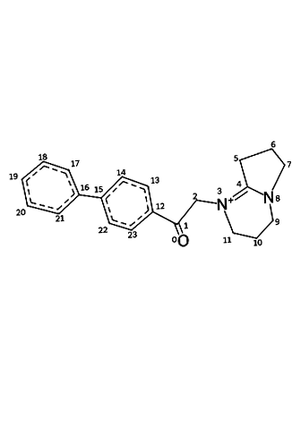 O=C(C[N+]1=C2CCCN2CCC1)c1ccc(-c2ccccc2)cc1